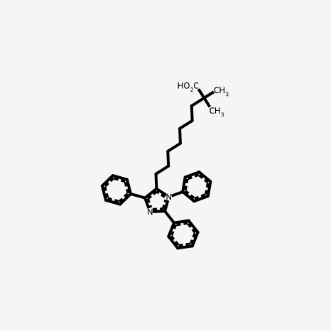 CC(C)(CCCCCCCc1c(-c2ccccc2)nc(-c2ccccc2)n1-c1ccccc1)C(=O)O